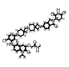 CNC(=O)COc1cc2c(F)c(Nc3cc(N4CCC(F)(CN5CCC6(CC5)CN(c5ccc7c(c5)CN(C5CCC(=O)NC5=O)C7=O)C6)CC4)ncc3Cl)ccc2n(C(C)C)c1=O